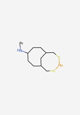 CC(C)NC1CCC2CSPSCC(CC1)C2